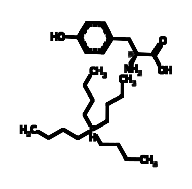 CCCC[PH](CCCC)(CCCC)CCCC.N[C@@H](Cc1ccc(O)cc1)C(=O)O